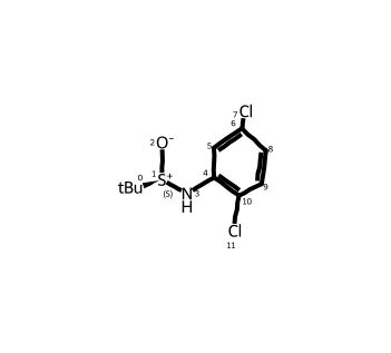 CC(C)(C)[S@@+]([O-])Nc1cc(Cl)ccc1Cl